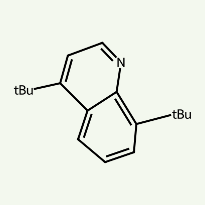 CC(C)(C)c1ccnc2c(C(C)(C)C)cccc12